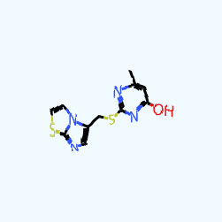 Cc1cc(O)nc(SCc2cnc3sccn23)n1